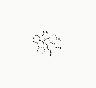 C=C/C=C1/C(/C=C\C)=C(C=C)C2(/C1=C/C=C)c1ccccc1-c1ccccc12